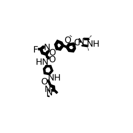 COc1c(CN2C[C@@H](C)N[C@@H](C)C2)cccc1-c1cccc(Oc2ncc(F)cc2C(=O)NC2CCC(NC(=O)c3cc(C)n(C)n3)CC2)c1